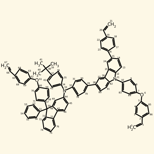 C=Cc1ccc(Oc2ccc(-n3c4ccc(-c5ccc(C=C)cc5)cc4c4cc(-c5ccc(N(c6ccc(C(C)(C)C)cc6)c6ccc7c(c6)C(c6ccccc6)(c6ccc(Oc8ccc(C=C)cc8)cc6)c6ccccc6-7)cc5)ccc43)cc2)cc1